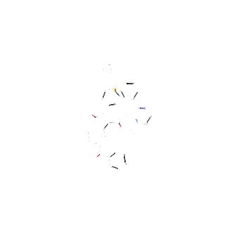 C[C@@H]1Cn2c(c(C(=O)NCc3c(F)cccc3-c3nccc(N)n3)n(-c3ccc(OC4CC4)cc3)c2=O)CN1C(=O)c1ccc(Br)c(C(F)(F)F)c1